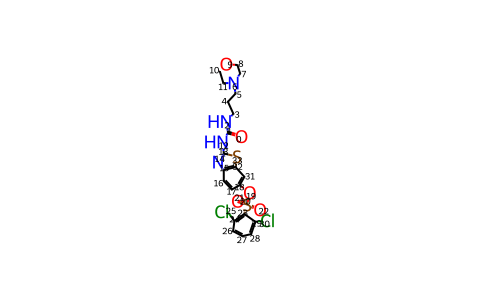 O=C(NCCCN1CCOCC1)Nc1nc2ccc(OS(=O)(=O)c3c(Cl)cccc3Cl)cc2s1